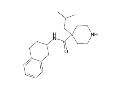 CC(C)CC1(C(=O)NC2CCc3ccccc3C2)CCNCC1